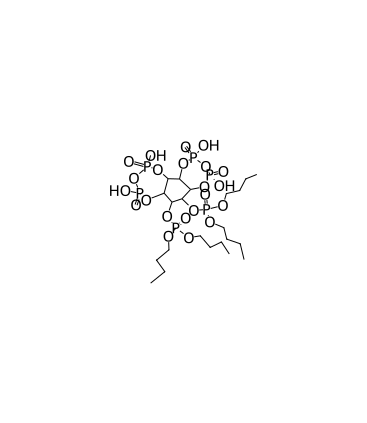 CCCCOP(=O)(OCCCC)OC1C2OP(=O)(O)OP(=O)(O)OC2C2OP(=O)(O)OP(=O)(O)OC2C1OP(=O)(OCCCC)OCCCC